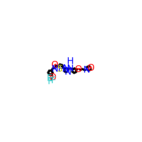 O=C(NCc1cccc(OC(F)(F)F)c1)c1ccc(-c2ccnc(Nc3cccc(OCCCN4CCOCC4)c3)n2)s1